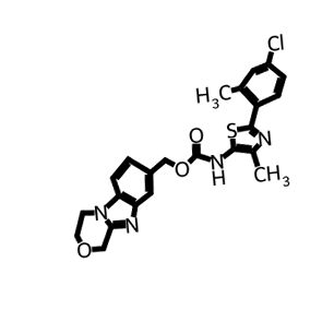 Cc1cc(Cl)ccc1-c1nc(C)c(NC(=O)OCc2ccc3c(c2)nc2n3CCOC2)s1